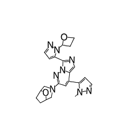 Cn1nccc1-c1cc(N2CC3CCC(C2)O3)nn2c(-c3ccnn3C3CCO3)ncc12